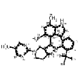 Cc1cnc(N2CCc3nn(-c4c(C)cccc4C(I)(I)I)c(-c4c(P)cc(C)c5[nH]ccc45)c3C2)nc1